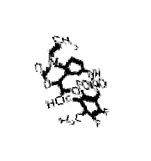 CCCN1C(=O)OC(C(=O)O)c2cc(NS(=O)(=O)Cc3c(F)c(F)c(C)c(F)c3F)ccc21